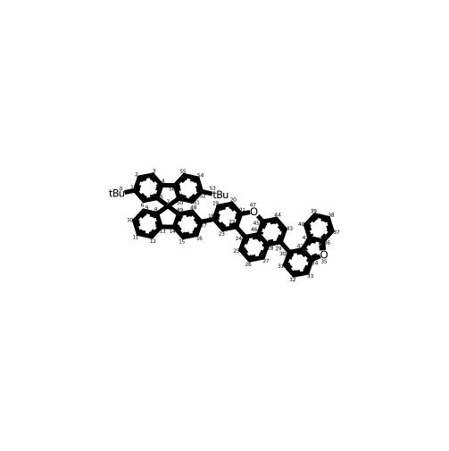 CC(C)(C)c1ccc2c(c1)C1(c3ccccc3-c3ccc(-c4ccc5c(c4)-c4cccc6c(-c7cccc8oc9ccccc9c78)ccc(c46)O5)cc31)c1cc(C(C)(C)C)ccc1-2